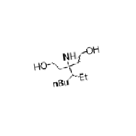 CCCCC(CC)C(N)(CCO)CCO